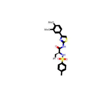 COc1ccc(-c2csc(NC(=O)[C@H](CC(C)C)NS(=O)(=O)c3ccc(C)cc3)n2)cc1OC